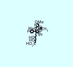 COc1ccc(N(c2nc(-c3ccc(F)cc3)c(/C=C/[C@@H](O)C[C@@H](O)CC(=O)O)c(C(C)C)n2)S(C)(=O)=O)c(OC)n1